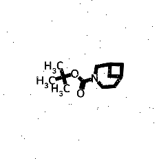 CC(C)(C)OC(=O)N1CCC2CC(C2)C1